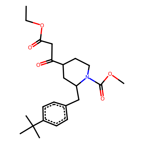 CCOC(=O)CC(=O)C1CCN(C(=O)OC)C(Cc2ccc(C(C)(C)C)cc2)C1